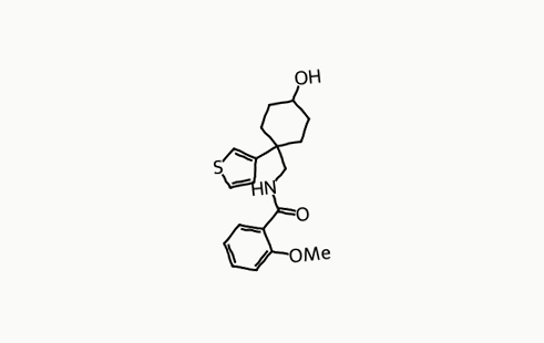 COc1ccccc1C(=O)NCC1(c2ccsc2)CCC(O)CC1